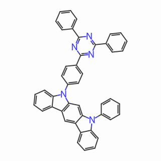 c1ccc(-c2nc(-c3ccccc3)nc(-c3ccc(-n4c5ccccc5c5cc6c7ccccc7n(-c7ccccc7)c6cc54)cc3)n2)cc1